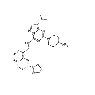 CC(C)c1cnn2c(NCc3cccc4ccc(-n5cccn5)nc34)nc(N3CCC(N)CC3)nc12